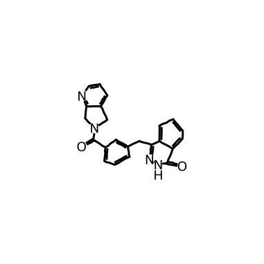 O=C(c1cccc(Cc2n[nH]c(=O)c3ccccc23)c1)N1Cc2cccnc2C1